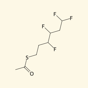 CC(=O)SCCC(F)C(F)CC(F)F